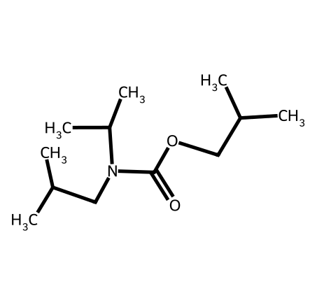 CC(C)COC(=O)N(CC(C)C)C(C)C